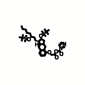 CCCCCC(CC[C@H]1C(O[Si](C)(C)C(C)(C)C)CC2Cc3c(cccc3OCC(=O)OC(=O)n3ccnc3)C[C@@H]21)O[Si](C)(C)C(C)(C)C